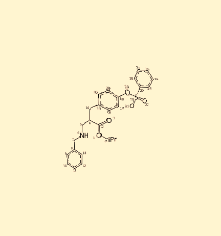 CC(C)OC(=O)C(CNCc1ccccc1)Cc1ccc(OS(=O)(=O)c2ccccc2)cc1